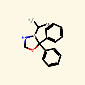 CC(C)B1NCOC1(c1ccccc1)c1ccccc1